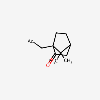 CC(=O)CC12CCC(CC1=O)C2(C)C